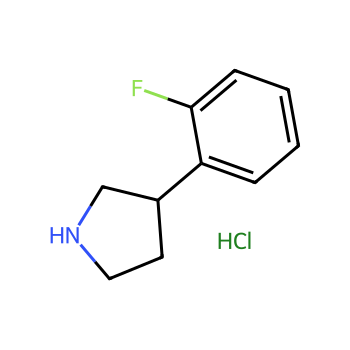 Cl.Fc1ccccc1C1CCNC1